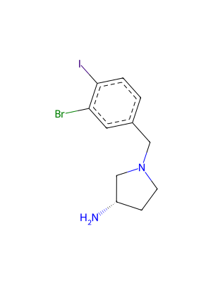 N[C@H]1CCN(Cc2ccc(I)c(Br)c2)C1